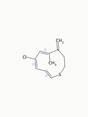 C=C1CCS/C=C/C=C(Cl)\C=C\1C